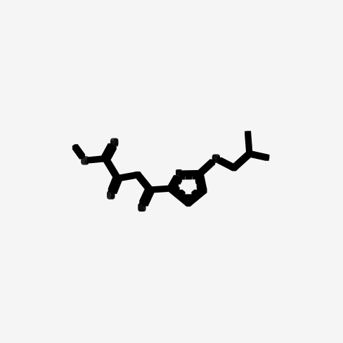 COC(=O)C(=O)CC(=O)c1ccc(OCC(C)C)s1